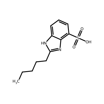 CCCCCc1nc2c(S(=O)(=O)O)cccc2[nH]1